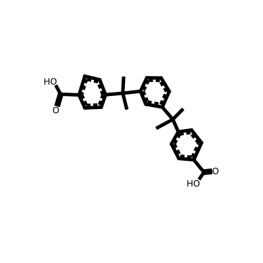 CC(C)(c1ccc(C(=O)O)cc1)c1cccc(C(C)(C)c2ccc(C(=O)O)cc2)c1